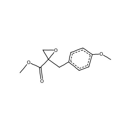 COC(=O)C1(Cc2ccc(OC)cc2)CO1